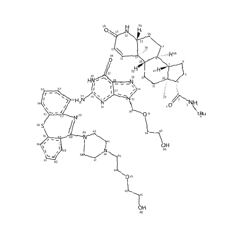 CC(C)(C)NC(=O)[C@H]1CC[C@H]2[C@@H]3CC[C@H]4NC(=O)C=C[C@]4(C)[C@H]3CC[C@]12C.Nc1nc2c(ncn2COCCO)c(=O)[nH]1.OCCOCCN1CCN(C2=Nc3ccccc3Sc3ccccc32)CC1